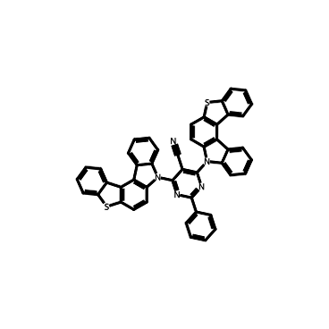 N#Cc1c(-n2c3ccccc3c3c4c(ccc32)sc2ccccc24)nc(-c2ccccc2)nc1-n1c2ccccc2c2c3c(ccc21)sc1ccccc13